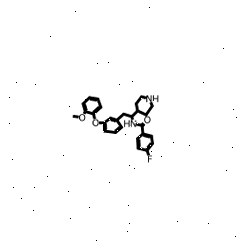 COc1ccccc1Oc1cccc(CC(NC(=O)c2ccc(F)cc2)C2CCNCC2)c1